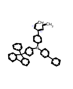 C=C/C=C(\C=C/C)c1ccc(N(c2ccc(-c3ccccc3)cc2)c2ccc(C3(c4ccccc4)c4ccccc4-c4ccccc43)cc2)cc1